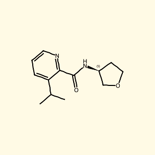 CC(C)c1cccnc1C(=O)N[C@H]1CCOC1